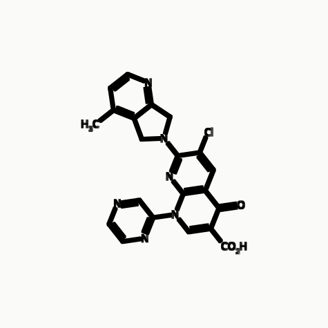 Cc1ccnc2c1CN(c1nc3c(cc1Cl)c(=O)c(C(=O)O)cn3-c1cnccn1)C2